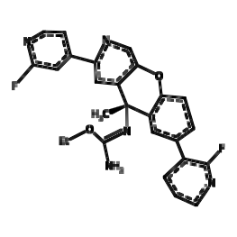 CCO/C(N)=N\[C@@]1(C)c2cc(-c3cccnc3F)ccc2Oc2cnc(-c3ccnc(F)c3)cc21